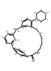 O=C1NCCCOCc2cc(ccc2N2CCOCC2)Nc2nccc(n2)-c2ccc1cc2